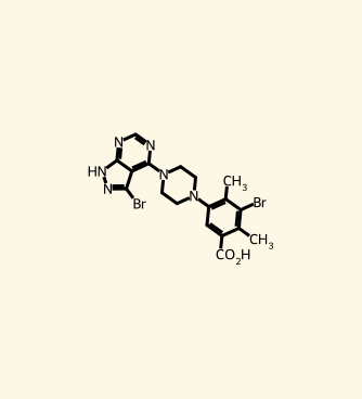 Cc1c(C(=O)O)cc(N2CCN(c3ncnc4[nH]nc(Br)c34)CC2)c(C)c1Br